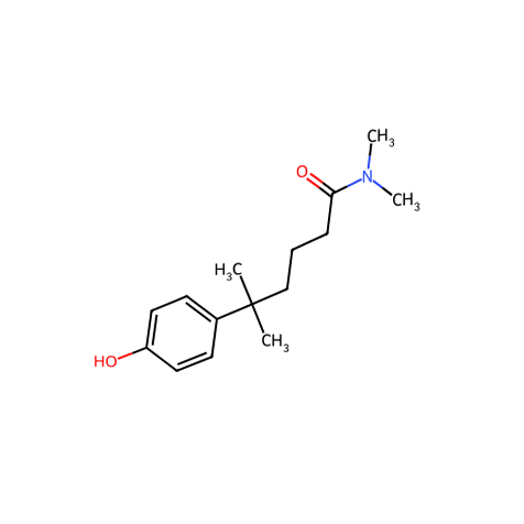 CN(C)C(=O)CCCC(C)(C)c1ccc(O)cc1